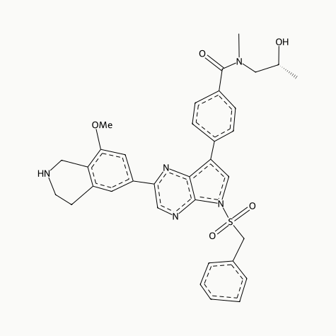 COc1cc(-c2cnc3c(n2)c(-c2ccc(C(=O)N(C)C[C@@H](C)O)cc2)cn3S(=O)(=O)Cc2ccccc2)cc2c1CNCC2